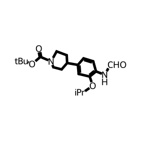 CC(C)Oc1cc(C2CCN(C(=O)OC(C)(C)C)CC2)ccc1NC=O